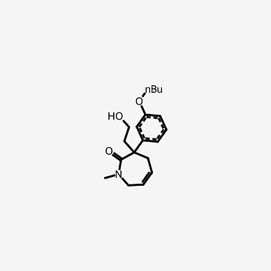 CCCCOc1cccc(C2(CCO)CC=CCN(C)C2=O)c1